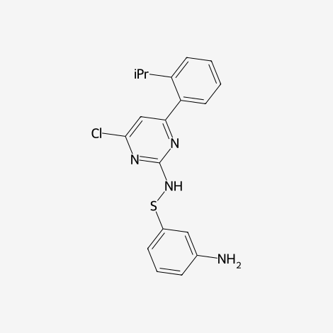 CC(C)c1ccccc1-c1cc(Cl)nc(NSc2cccc(N)c2)n1